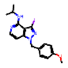 COc1ccc(Cn2nc(I)c3c(NC(C)C)nccc32)cc1